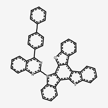 c1ccc(-c2ccc(-c3nc(-n4c5ccccc5c5c6sc7ccccc7c6c6c7ccccc7oc6c54)nc4ccccc34)cc2)cc1